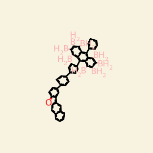 Bc1c(B)c(B)c2c(-c3ccc(-c4ccc(-c5ccc6oc7cc8ccccc8cc7c6c5)cc4)cc3)c3c(B)c(B)c(B)c(B)c3c(-c3ccccc3)c2c1B